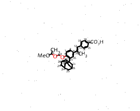 COC(C)OCOc1ccc(/C(C)=C/c2ccc(C(=O)O)cc2)cc1C12CC3CC(CC(C3)C1)C2